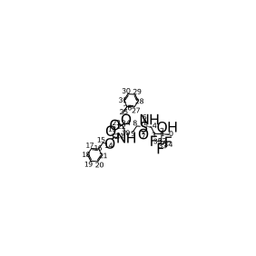 C[C@](O)(CC[S@@](=N)(=O)CC[C@H](NC(=O)OCc1ccccc1)C(=O)OCc1ccccc1)C(F)(F)F